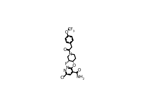 NC(=O)c1cc(Cl)nnc1O[C@H]1CCN(C(=O)Cc2ccc(OC(F)(F)F)cc2)C[C@@H]1F